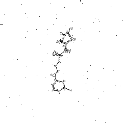 Cc1cccc(OCCCC(=O)Nc2ncc(C)s2)c1